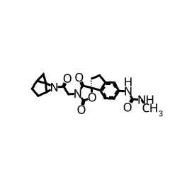 CNC(=O)Nc1ccc2c(c1)CC[C@@]21OC(=O)N(CC(=O)N2C3CCC4CC432)C1=O